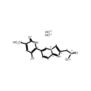 CCc1cc(C(=O)O)c(=O)[nH]c1-c1ccc2nc(CN(CC)CC)cn2c1.Cl.Cl